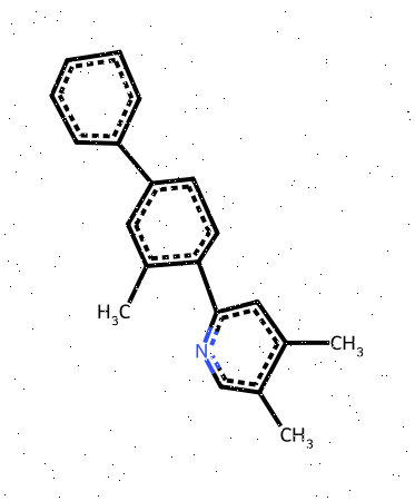 Cc1cnc(-c2ccc(-c3ccccc3)cc2C)cc1C